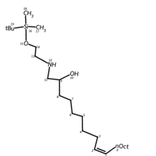 CCCCCCCC/C=C\CCCCCCC(O)CNCCO[Si](C)(C)C(C)(C)C